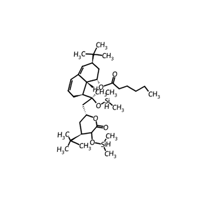 CCCCCC(=O)O[C@H]1C[C@H](C(C)(C)C)C=C2C=CC[C@H]([C@](C)(C[C@H]3C[C@H](C(C)(C)C)C(O[SiH](C)C)C(=O)O3)O[SiH](C)C)[C@H]21